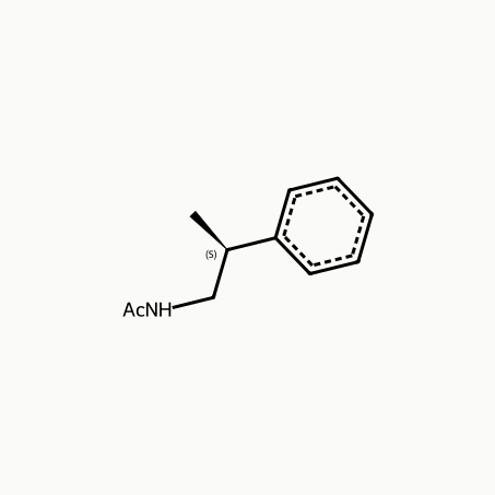 CC(=O)NC[C@@H](C)c1ccccc1